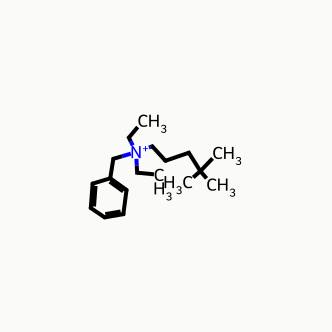 CC[N+](CC)(CCCC(C)(C)C)Cc1ccccc1